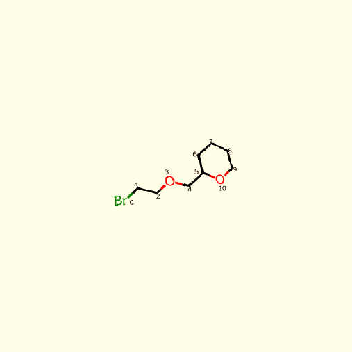 BrCCOCC1CCCCO1